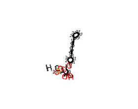 CS(=O)(=O)Cc1oc(COc2ccc(C#CC#Cc3ccccc3)cc2)cc(=O)c1O